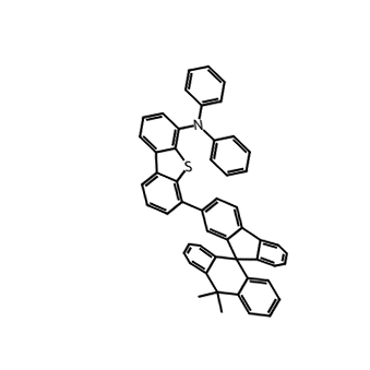 CC1(C)c2ccccc2C2(c3ccccc3-c3ccc(-c4cccc5c4sc4c(N(c6ccccc6)c6ccccc6)cccc45)cc32)c2ccccc21